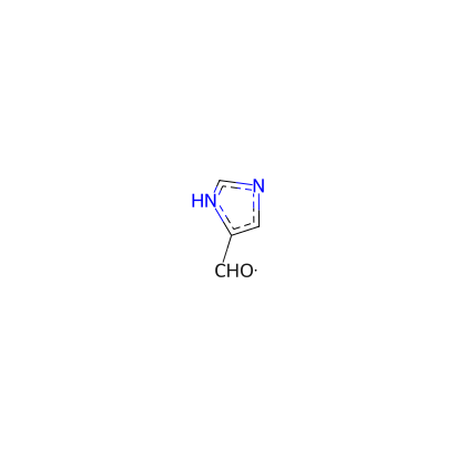 O=[C]c1cnc[nH]1